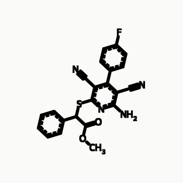 COC(=O)C(Sc1nc(N)c(C#N)c(-c2ccc(F)cc2)c1C#N)c1ccccc1